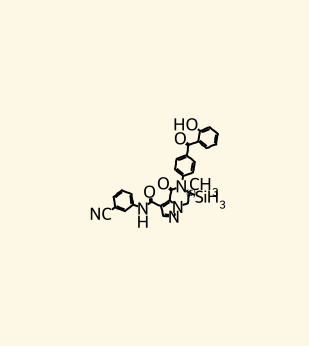 C[C@]1([SiH3])Cn2ncc(C(=O)Nc3cccc(C#N)c3)c2C(=O)N1c1ccc(C(=O)c2ccccc2O)cc1